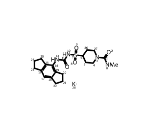 CNC(=O)N1CCC(S(=O)(=O)NC(=O)Nc2c3c(cc4c2CCC4)CCC3)CC1.[K]